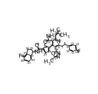 Cc1nnc(-c2c(CCc3ccc(F)cc3)nc(CC(C)C)c(C(N)=O)c2-c2ccc(C(=O)N[C@@H]3CCc4c(F)cccc43)s2)o1